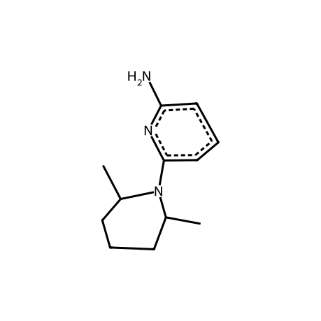 CC1CCCC(C)N1c1cccc(N)n1